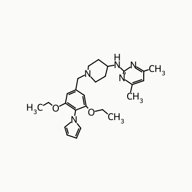 CCOc1cc(CN2CCC(Nc3nc(C)cc(C)n3)CC2)cc(OCC)c1-n1cccc1